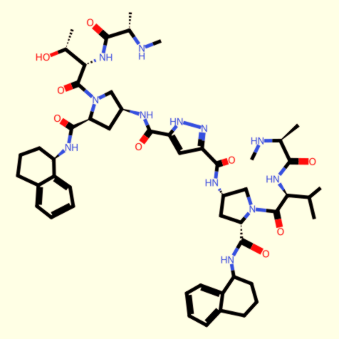 CN[C@@H](C)C(=O)N[C@H](C(=O)N1C[C@@H](NC(=O)c2cc(C(=O)N[C@H]3C[C@@H](C(=O)N[C@@H]4CCCc5ccccc54)N(C(=O)[C@@H](NC(=O)[C@H](C)NC)[C@@H](C)O)C3)[nH]n2)C[C@H]1C(=O)NC1CCCc2ccccc21)C(C)C